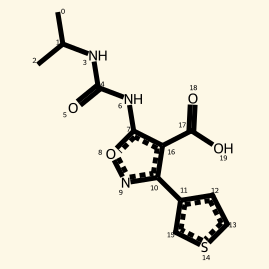 CC(C)NC(=O)Nc1onc(-c2ccsc2)c1C(=O)O